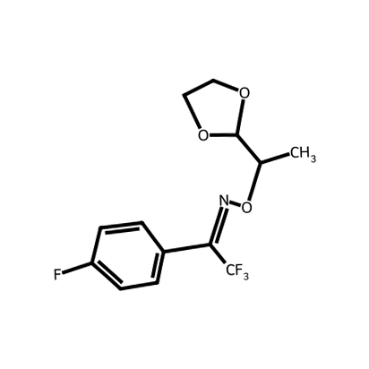 CC(ON=C(c1ccc(F)cc1)C(F)(F)F)C1OCCO1